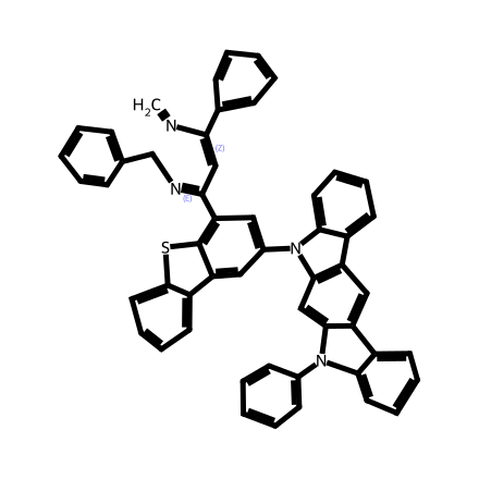 C=N/C(=C\C(=N/Cc1ccccc1)c1cc(-n2c3ccccc3c3cc4c5ccccc5n(-c5ccccc5)c4cc32)cc2c1sc1ccccc12)c1ccccc1